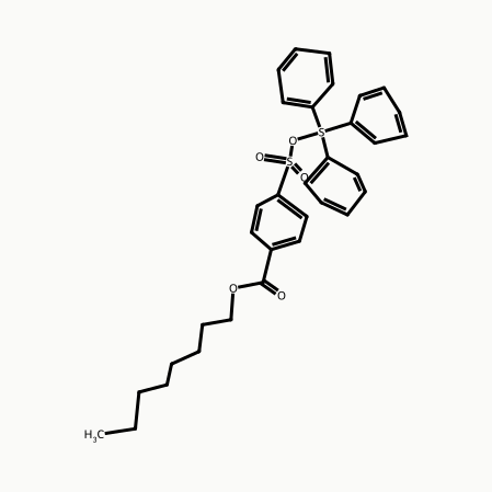 CCCCCCCCOC(=O)c1ccc(S(=O)(=O)OS(c2ccccc2)(c2ccccc2)c2ccccc2)cc1